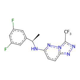 C[C@@H](Nc1ccc2nnc(C(F)(F)F)n2n1)c1cc(F)cc(F)c1